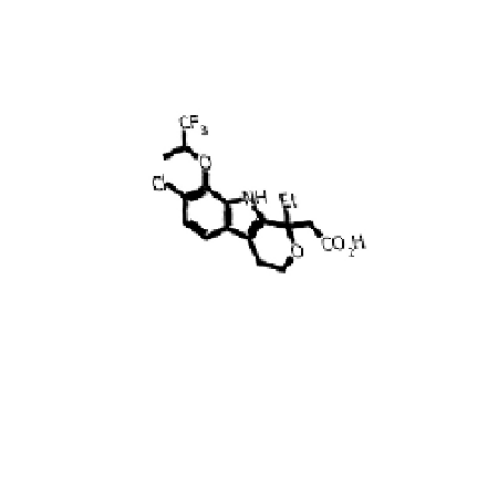 CCC1(CC(=O)O)OCCc2c1[nH]c1c(OC(C)C(F)(F)F)c(Cl)ccc21